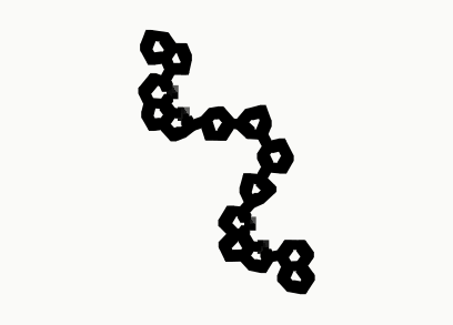 c1cc(-c2ccc(-c3ccc4ccc5ccc(-c6cccc7ccccc67)nc5c4n3)cc2)cc(-c2cccc(-c3ccc(-c4ccc5ccc6ccc(-c7cccc8ccccc78)nc6c5n4)cc3)c2)c1